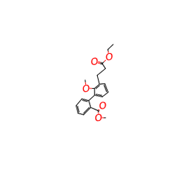 CCOC(=O)CCc1cccc(-c2ccccc2C(=O)OC)c1OC